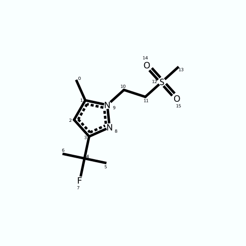 Cc1cc(C(C)(C)F)nn1CCS(C)(=O)=O